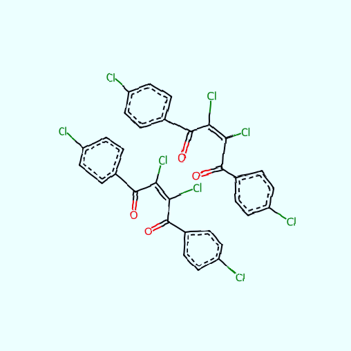 O=C(/C(Cl)=C(/Cl)C(=O)c1ccc(Cl)cc1)c1ccc(Cl)cc1.O=C(/C(Cl)=C(/Cl)C(=O)c1ccc(Cl)cc1)c1ccc(Cl)cc1